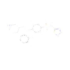 O=S(=O)(Nc1ncns1)c1cc(F)c(OCC2CNCCC2c2ccc(Cl)c(Cl)c2)cc1F